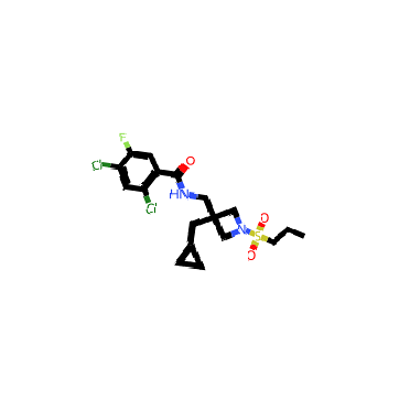 CCCS(=O)(=O)N1CC(CNC(=O)c2cc(F)c(Cl)cc2Cl)(CC2CC2)C1